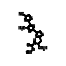 Cc1oc(-c2csc(CC(NC(=O)OC(C)(C)C)C(=O)O)n2)nc1-c1nc(C#N)cs1